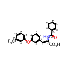 O=C(O)/C(=C/c1cccc(Oc2cccc(C(F)(F)F)c2)c1)NC(=O)c1ccccc1